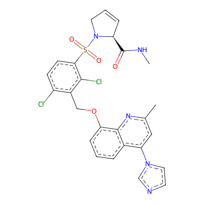 CNC(=O)[C@@H]1C=CCN1S(=O)(=O)c1ccc(Cl)c(COc2cccc3c(-n4ccnc4)cc(C)nc23)c1Cl